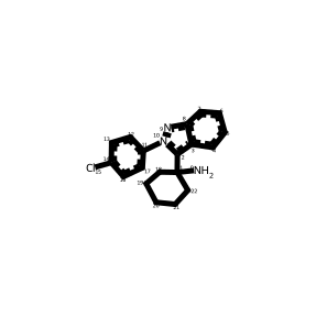 NC1(c2c3ccccc3nn2-c2ccc(Cl)cc2)CCCCC1